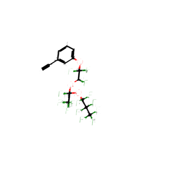 C#Cc1cccc(OC(F)(F)C(F)OC(F)(OC(F)(F)C(F)(F)C(F)(F)F)C(F)(F)F)c1